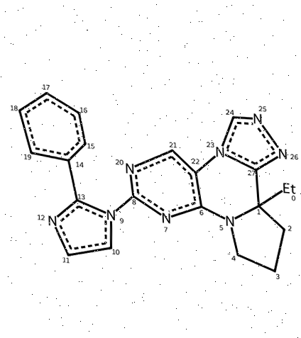 CCC12CCCN1c1nc(-n3ccnc3-c3ccccc3)ncc1-n1cnnc12